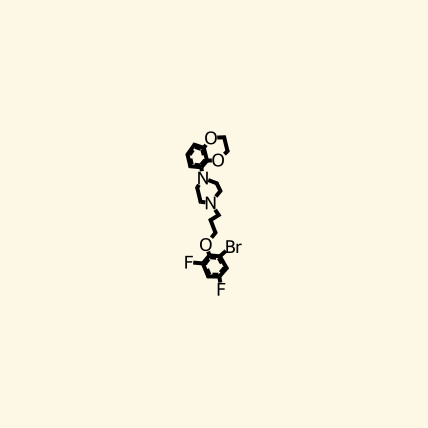 Fc1cc(F)c(OCCCN2CCN(c3cccc4c3OCCO4)CC2)c(Br)c1